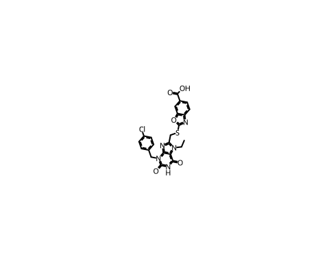 CCn1c(CSc2nc3ccc(C(=O)O)cc3o2)nc2c1c(=O)[nH]c(=O)n2Cc1ccc(Cl)cc1